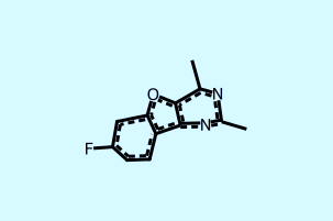 Cc1nc(C)c2oc3cc(F)ccc3c2n1